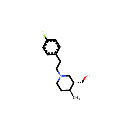 C[C@H]1CCN(CCc2ccc(F)cc2)C[C@@H]1CO